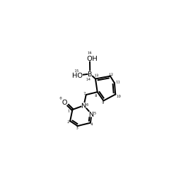 O=c1cccnn1Cc1ccccc1B(O)O